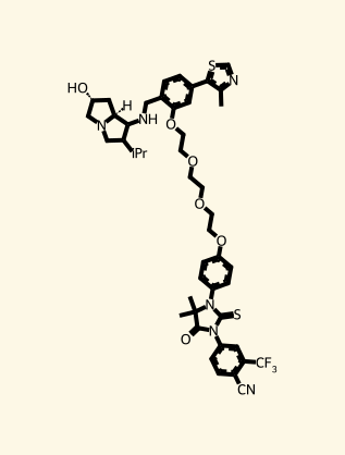 Cc1ncsc1-c1ccc(CNC2C(C(C)C)CN3C[C@H](O)C[C@@H]23)c(OCCOCCOCCOc2ccc(N3C(=S)N(c4ccc(C#N)c(C(F)(F)F)c4)C(=O)C3(C)C)cc2)c1